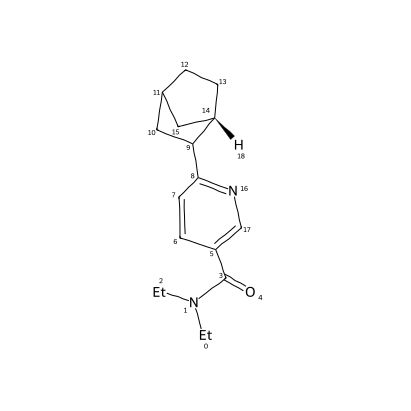 CCN(CC)C(=O)c1ccc(C2CC3CC[C@H]2C3)nc1